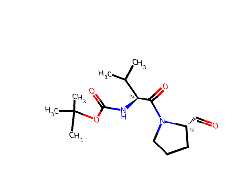 CC(C)[C@H](NC(=O)OC(C)(C)C)C(=O)N1CCC[C@H]1[C]=O